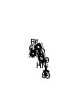 O=C(NCC1=CS(=O)(=O)C1)C1(F)CCN(S(=O)(=O)c2ccc(Br)cc2-c2ccccc2Cl)CC1